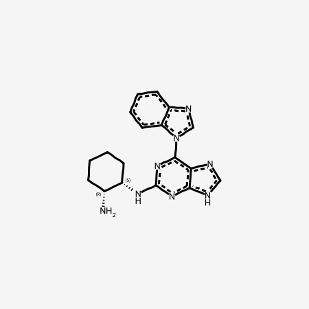 N[C@@H]1CCCC[C@@H]1Nc1nc(-n2cnc3ccccc32)c2nc[nH]c2n1